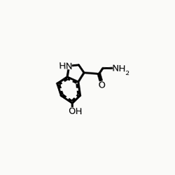 NCC(=O)C1CNc2ccc(O)cc21